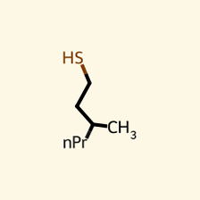 CCCC(C)CCS